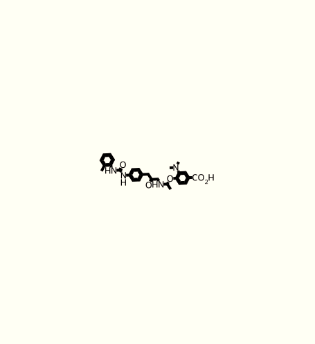 Cc1ccccc1NC(=O)Nc1ccc(CC(=O)CNC(C)Oc2ccc(C(=O)O)cc2N(C)C)cc1